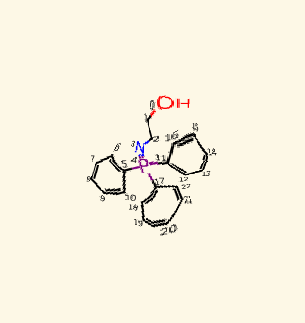 OCCN=P(c1ccccc1)(c1ccccc1)c1ccccc1